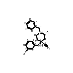 C[C@@H]1C[C@](C#N)(Nc2cccc(F)c2)CCN1Cc1ccccc1